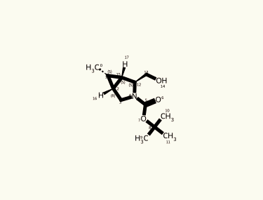 C[C@H]1[C@H]2CN(C(=O)OC(C)(C)C)[C@H](CO)[C@@H]12